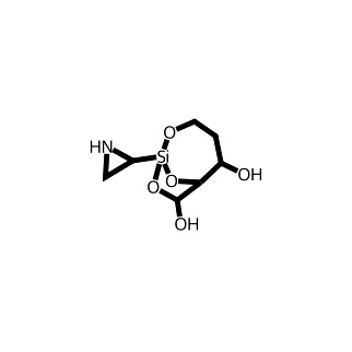 OC1CCO[Si]2(C3CN3)OC(O)C1O2